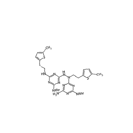 CNc1nc(NCCc2ccc(C)s2)nc(NN(CCc2ccc(C)s2)c2nc(N)nc(NC)n2)n1